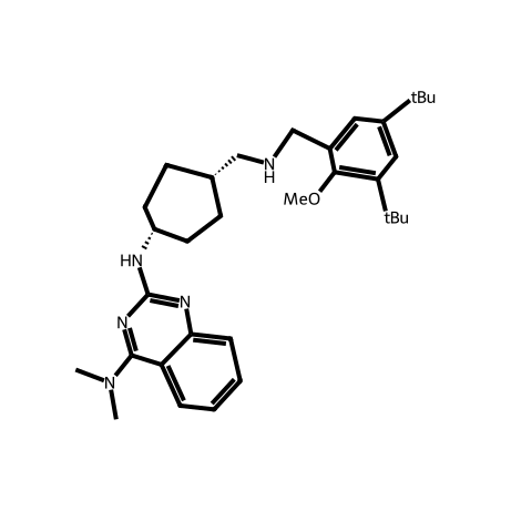 COc1c(CNC[C@H]2CC[C@@H](Nc3nc(N(C)C)c4ccccc4n3)CC2)cc(C(C)(C)C)cc1C(C)(C)C